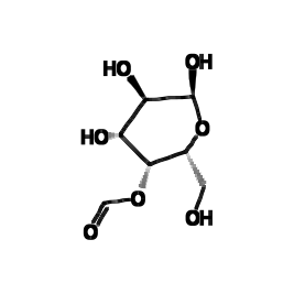 O=CO[C@@H]1[C@H](O)[C@@H](O)[C@@H](O)O[C@@H]1CO